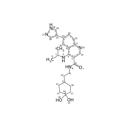 CC(C)Nc1c(C(=O)NCCC2CCS(O)(O)CC2)cnc2ccc(-c3cn[nH]c3)cc12